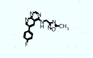 Cc1nc(CNc2ncnc3ncc(-c4ccc(F)cc4)cc23)no1